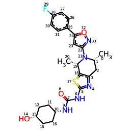 C[C@@H]1Cc2nc(NC(=O)N[C@H]3CC[C@@H](O)CC3)sc2[C@H](C)N1c1cc(-c2ccc(F)cc2)on1